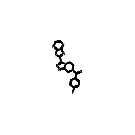 O=C(c1ccc(F)cc1)N1CCn2c(nnc2-c2nc3nccnc3s2)C1